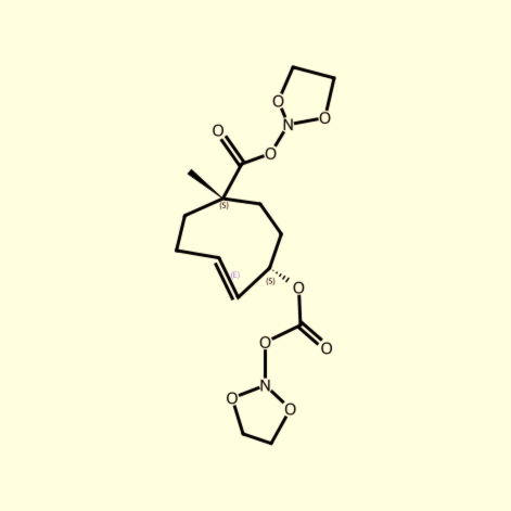 C[C@]1(C(=O)ON2OCCO2)CC/C=C/[C@@H](OC(=O)ON2OCCO2)CC1